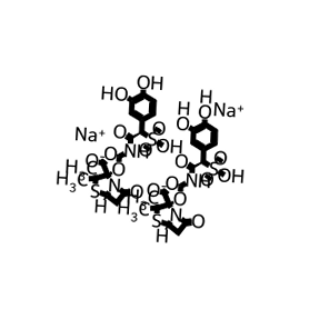 CC1(C)S[C@@H]2CC(=O)N2[C@@]1(OCNC(=O)[C@@H](c1ccc(O)c(O)c1)S(=O)(=O)O)C(=O)[O-].CC1(C)S[C@@H]2CC(=O)N2[C@@]1(OCNC(=O)[C@@H](c1ccc(O)c(O)c1)S(=O)(=O)O)C(=O)[O-].[Na+].[Na+]